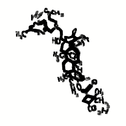 Cc1cncc(CN(CCN(C)C)C[C@H](O)[C@@]23CC[C@]4(C)[C@H](CC[C@@H]5[C@@]6(C)CC[C@H](OC(=O)[C@H]7C[C@@H](C(=O)O)C7(C)C)C(C)(C)[C@@H]6CC[C@]54C)C2=C(C(C)C)C(=O)C3)n1